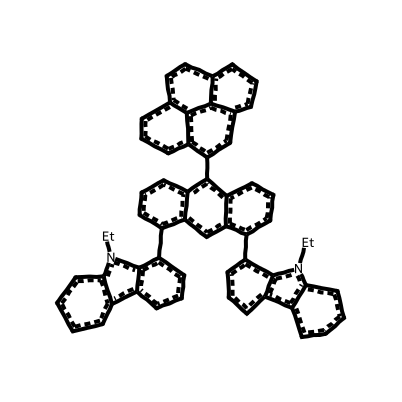 CCn1c2ccccc2c2cccc(-c3cccc4c(-c5cc6cccc7ccc8cccc5c8c76)c5cccc(-c6cccc7c8ccccc8n(CC)c67)c5cc34)c21